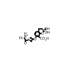 CC[C@H](N)C(=O)N1CC(Oc2ccc3c(c2C(=O)O)O[B-](O)(O)CC3)C1